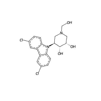 OCN1C[C@H](O)[C@H](O)[C@@H](n2c3ccc(Cl)cc3c3cc(Cl)ccc32)C1